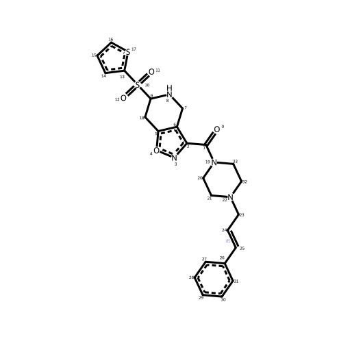 O=C(c1noc2c1CNC(S(=O)(=O)c1cccs1)C2)N1CCN(C/C=C/c2ccccc2)CC1